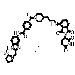 C[C@H]1CCCN1Cc1nc2cc(NC(=O)c3ccc(C(=O)N4CCC(CCCNc5cccc6c5C(=O)N(C5CCC(=O)NC5=O)C6=O)CC4)cc3)ccc2[nH]1